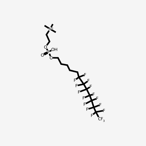 C[N+](C)(C)CCOP(=O)(O)OCCCCCC(F)(F)C(F)(F)C(F)(F)C(F)(F)C(F)(F)C(F)(F)C(F)(F)C(F)(F)F